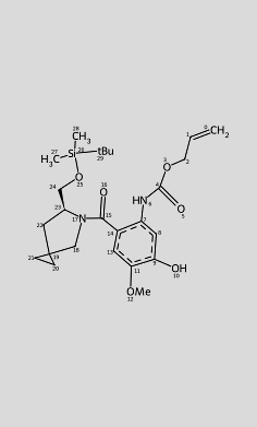 C=CCOC(=O)Nc1cc(O)c(OC)cc1C(=O)N1CC2(CC2)C[C@H]1CO[Si](C)(C)C(C)(C)C